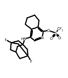 O=S(=O)(Oc1ncc(NC23CC4CC(F)(CC(F)(C4)C2)C3)c2c1CCCC2)C(F)(F)F